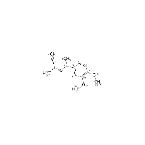 C#CC(C)OC(C)c1ccc(OC)c(OC)c1